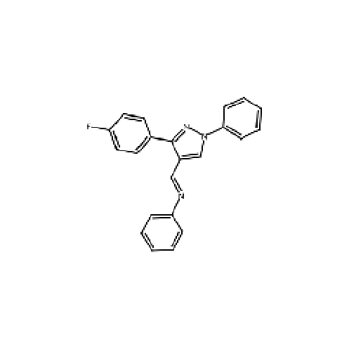 Fc1ccc(-c2nn(-c3ccccc3)cc2C=Nc2ccccc2)cc1